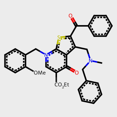 CCOC(=O)c1cn(Cc2ccccc2OC)c2sc(C(=O)c3ccccc3)c(CN(C)Cc3ccccc3)c2c1=O